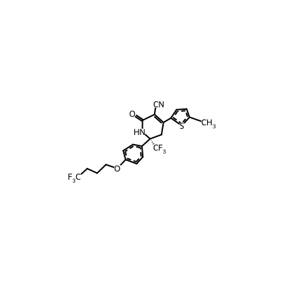 Cc1ccc(C2=C(C#N)C(=O)N[C@@](c3ccc(OCCCC(F)(F)F)cc3)(C(F)(F)F)C2)s1